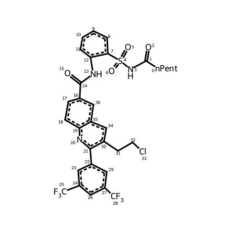 CCCCCC(=O)NS(=O)(=O)c1ccccc1NC(=O)c1ccc2nc(-c3cc(C(F)(F)F)cc(C(F)(F)F)c3)c(CCCl)cc2c1